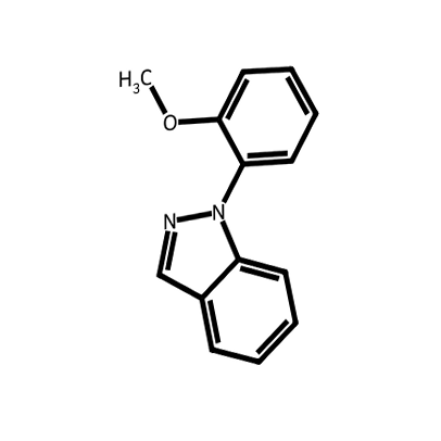 COc1ccccc1-n1ncc2ccccc21